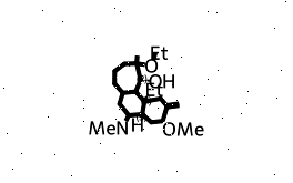 C=C1C[C@@]2(CC)C3C(CCCC(C)(OCC)[C@@H]3O)CC(NC)[C@H]2CC1OC